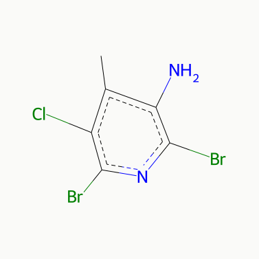 Cc1c(N)c(Br)nc(Br)c1Cl